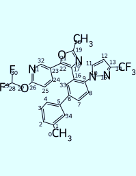 Cc1cccc(-c2ccc(-n3ccc(C(F)(F)F)n3)c(-c3nc(C)oc3-c3ccc(OC(F)F)nc3)c2)c1